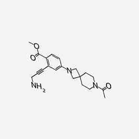 COC(=O)c1ccc(N2CC3(CCN(C(C)=O)CC3)C2)cc1C#CCN